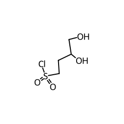 O=S(=O)(Cl)CCC(O)CO